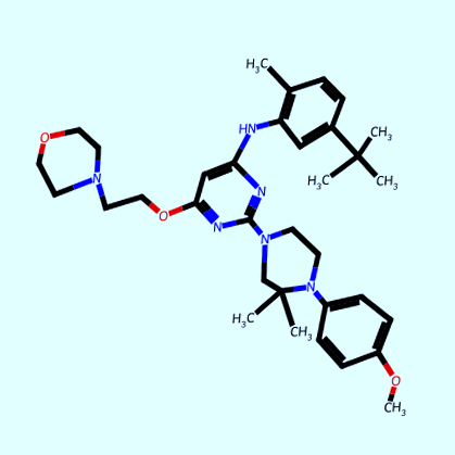 COc1ccc(N2CCN(c3nc(Nc4cc(C(C)(C)C)ccc4C)cc(OCCN4CCOCC4)n3)CC2(C)C)cc1